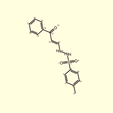 Cc1ccc(S(=O)(=O)NN/C=C/C(=O)c2ccccc2)cc1